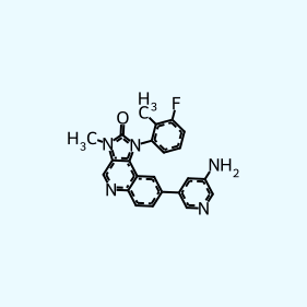 Cc1c(F)cccc1-n1c(=O)n(C)c2cnc3ccc(-c4cncc(N)c4)cc3c21